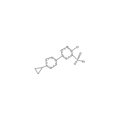 CCS(=O)(=O)c1cc(-c2ccc(C3CC3)cc2)cnc1Cl